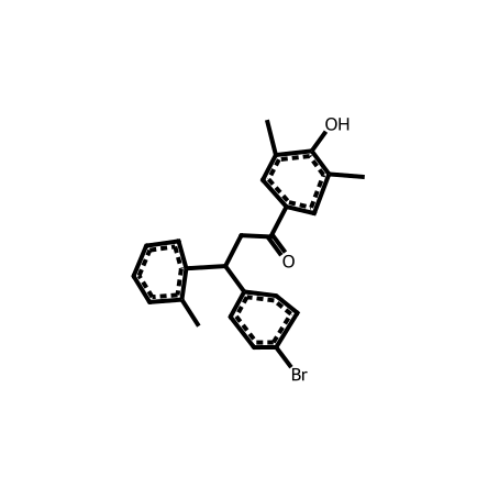 Cc1ccccc1C(CC(=O)c1cc(C)c(O)c(C)c1)c1ccc(Br)cc1